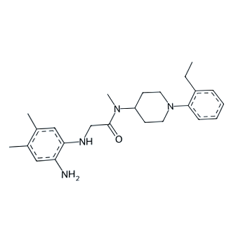 CCc1ccccc1N1CCC(N(C)C(=O)CNc2cc(C)c(C)cc2N)CC1